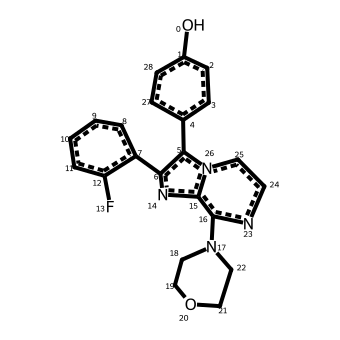 Oc1ccc(-c2c(-c3ccccc3F)nc3c(N4CCOCC4)nccn23)cc1